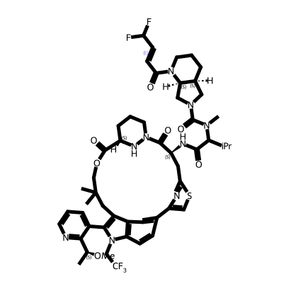 CO[C@@H](C)c1ncccc1-c1c2c3cc(ccc3n1CC(F)(F)F)-c1csc(n1)C[C@H](NC(=O)C(C(C)C)N(C)C(=O)N1C[C@@H]3CCCN(C(=O)/C=C/C(F)F)[C@@H]3C1)C(=O)N1CCC[C@H](N1)C(=O)OCC(C)(C)C2